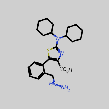 NNCc1ccccc1-c1sc(N(C2CCCCC2)C2CCCCC2)nc1C(=O)O